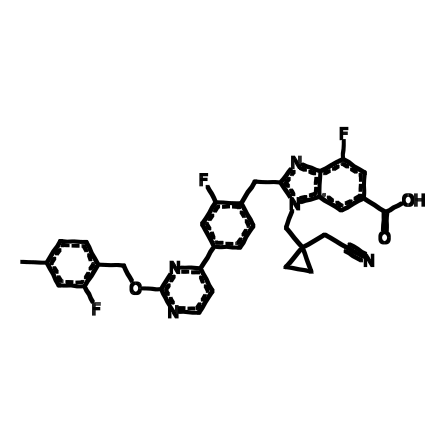 Cc1ccc(COc2nccc(-c3ccc(Cc4nc5c(F)cc(C(=O)O)cc5n4CC4(CC#N)CC4)c(F)c3)n2)c(F)c1